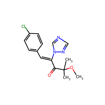 COC(C)(C)C(=O)/C(=C/c1ccc(Cl)cc1)n1cncn1